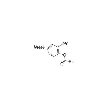 CCC(=O)Oc1ccc(NC)cc1C(C)C